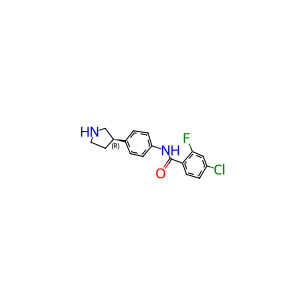 O=C(Nc1ccc([C@H]2CCNC2)cc1)c1ccc(Cl)cc1F